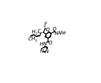 C=C(/C=C\C=C/C)[C@@H]1c2cc(C(=O)Nc3cncnc3)cc(C(=O)NC)c2O[C@H]1CF